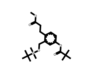 COC(=O)CCc1ccc(OC(=O)C(C)(C)C)cc1CO[Si](C)(C)C(C)(C)C